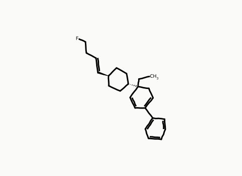 CCC1([C@H]2CC[C@H](C=CCCF)CC2)C=CC(c2ccccc2)=CC1